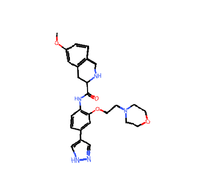 COc1ccc2c(c1)CC(C(=O)Nc1ccc(-c3cn[nH]c3)cc1OCCN1CCOCC1)NC2